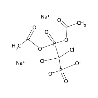 CC(=O)OP(=O)(OC(C)=O)C(Cl)(Cl)P(=O)([O-])[O-].[Na+].[Na+]